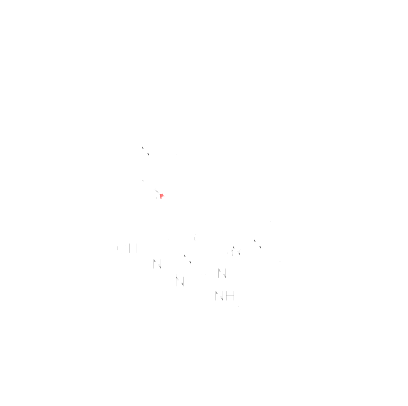 Nc1nnc(-c2ccccc2O)cc1N1CC2CCC(C1)N2c1cc(C#CCN2CCCCCC2)ncn1